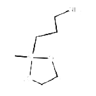 C[Si]1(CCCN)OCCO1